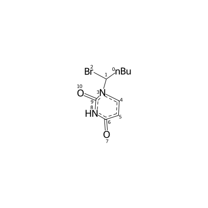 CCCCC(Br)n1ccc(=O)[nH]c1=O